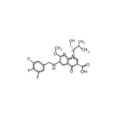 COc1nc2c(cc1NCc1cc(F)c(F)c(F)c1)c(=O)c(C(=O)O)cn2[C@H](CO)C(C)C